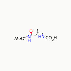 C=C(CNC(=O)O)CC(=O)NCOC